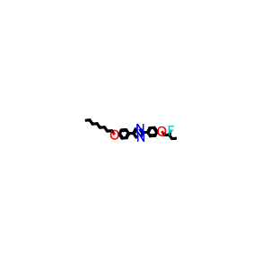 CCCCCCCCOc1ccc(-c2cnc(-c3ccc(OCC(F)CC)cc3)nc2)cc1